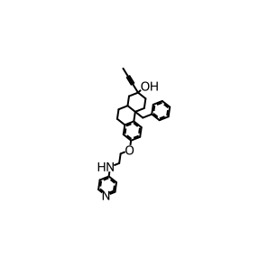 CC#CC1(O)CCC2(Cc3ccccc3)c3ccc(OCCNc4ccncc4)cc3CCC2C1